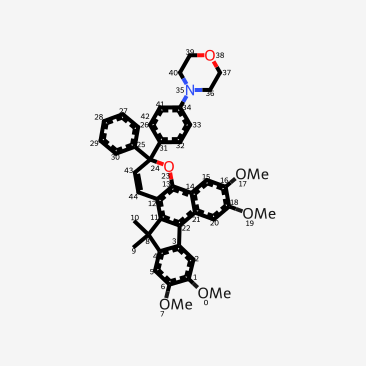 COc1cc2c(cc1OC)C(C)(C)c1c3c(c4cc(OC)c(OC)cc4c1-2)OC(c1ccccc1)(c1ccc(N2CCOCC2)cc1)C=C3